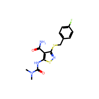 CN(C)C(=O)Nc1snc(SCc2ccc(F)cc2)c1C(N)=O